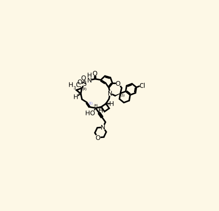 C[C@@]12C[C@H]1C/C=C/[C@@](O)(C#CCN1CCOCC1)[C@@H]1CC[C@H]1CN1C[C@@]3(CCCc4cc(Cl)ccc43)COc3ccc(cc31)C(=O)NS2(=O)=O